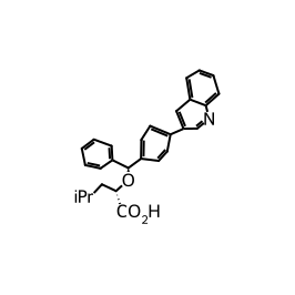 CC(C)C[C@H](O[C@H](c1ccccc1)c1ccc(-c2cnc3ccccc3c2)cc1)C(=O)O